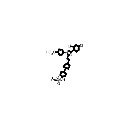 O=C(O)c1ccc(-n2cc(-c3ccc(Cl)cc3Cl)nc2/C=C/c2ccc(-c3ccc(NS(=O)(=O)CC(F)(F)F)cc3)cc2)cc1